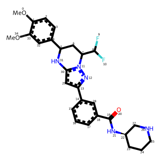 COc1ccc(C2CC(C(F)F)n3nc(-c4cccc(C(=O)N[C@@H]5CCCNC5)c4)cc3N2)cc1OC